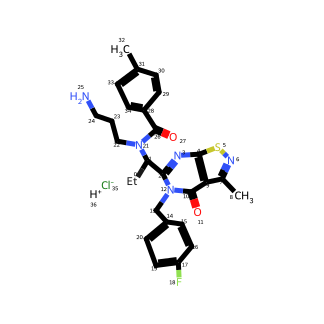 CCC(c1nc2snc(C)c2c(=O)n1Cc1ccc(F)cc1)N(CCCN)C(=O)c1ccc(C)cc1.[Cl-].[H+]